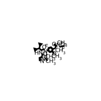 COc1cc(NC(=O)[C@@H](NC(=O)c2ccnn2C(C)C)C(C2CC2)C2CC2)c(F)cc1C(C)C(=O)N(C)CC(F)(F)F